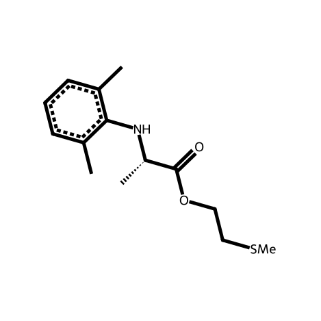 CSCCOC(=O)[C@H](C)Nc1c(C)cccc1C